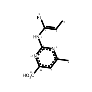 CC=C(CC)Nc1nc(C)cc(C(=O)O)n1